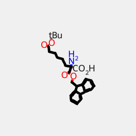 CC(C)(C)OC(=O)CCCCCC(N)(C(=O)O)C(=O)OCC1c2ccccc2-c2ccccc21